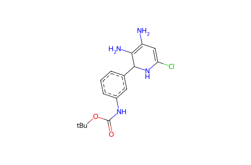 CC(C)(C)OC(=O)Nc1cccc(C2NC(Cl)=CC(N)=C2N)c1